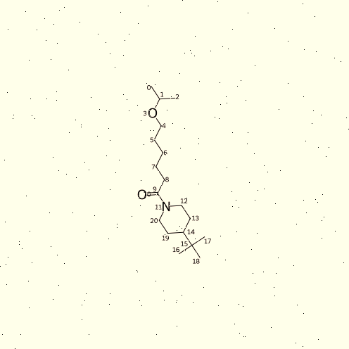 CC(C)OCCCCCC(=O)N1CCC(C(C)(C)C)CC1